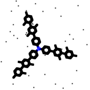 Cc1ccc(-c2cc(C)c(-c3ccc(N(c4ccc(-c5cc(C)c(-c6ccc(C)cc6C)cc5C)cc4)c4ccc(-c5cc(C)c(-c6ccc(C)cc6C)cc5C)cc4)cc3)cc2C)c(C)c1